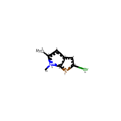 COc1cc2cc(Br)sc2n1C